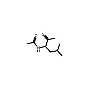 CC(=O)NC(CC(C)C)C(C)=S